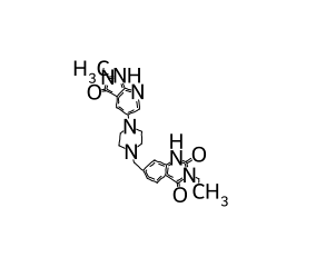 CCn1c(=O)[nH]c2cc(CN3CCN(c4cnc5[nH]n(C)c(=O)c5c4)CC3)ccc2c1=O